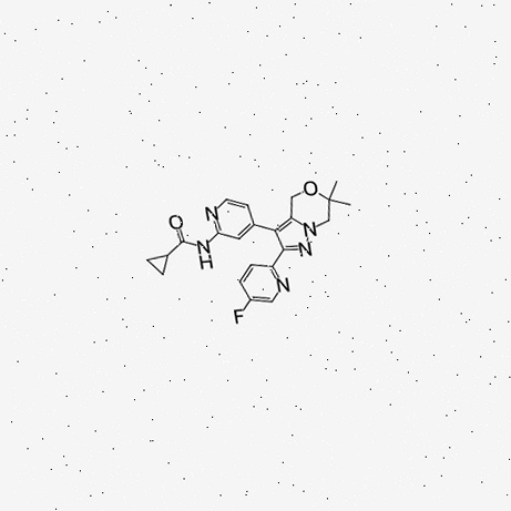 CC1(C)Cn2nc(-c3ccc(F)cn3)c(-c3ccnc(NC(=O)C4CC4)c3)c2CO1